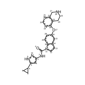 O=C(Nc1cc(C2CC2)[nH]n1)n1ccc2cc(Oc3ncnc4c3CCNC4)ccc21